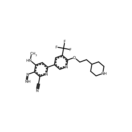 CNc1cc(-c2cnc(OCCC3CCNCC3)c(C(F)(F)F)c2)nc(C#N)c1N=N